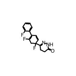 O=C1CCC(C2(F)C=CC(c3ccccc3F)=C(F)C2)=NN1